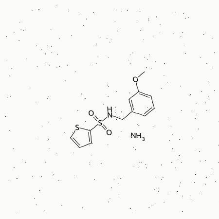 COc1cccc(CNS(=O)(=O)c2cccs2)c1.N